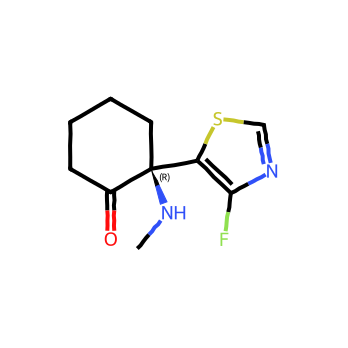 CN[C@]1(c2scnc2F)CCCCC1=O